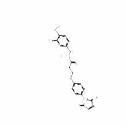 O=C(CCCc1ccc(N2C(=O)C=CC2=O)cc1)NCc1ccc(CO)c([N+](=O)[O-])c1